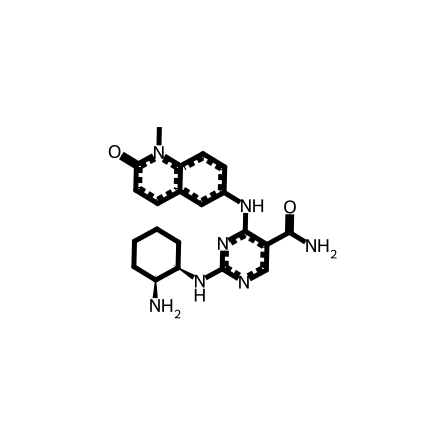 Cn1c(=O)ccc2cc(Nc3nc(N[C@@H]4CCCC[C@@H]4N)ncc3C(N)=O)ccc21